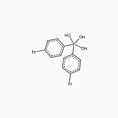 CCc1ccc(P(O)(O)(O)c2ccc(CC)cc2)cc1